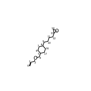 C=CCOCC1CCC(CCCCC2CO2)CC1